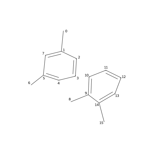 Cc1cccc(C)c1.Cc1ccccc1C